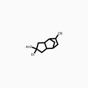 CCC1(OC(C)=O)CC2C3CC(C#N)C(C3)C2C1